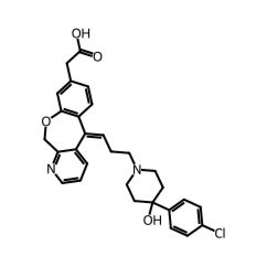 O=C(O)Cc1ccc2c(c1)OCc1ncccc1C2=CCCN1CCC(O)(c2ccc(Cl)cc2)CC1